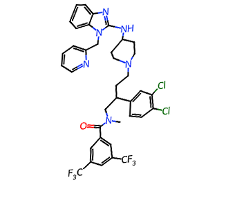 CN(CC(CCN1CCC(Nc2nc3ccccc3n2Cc2ccccn2)CC1)c1ccc(Cl)c(Cl)c1)C(=O)c1cc(C(F)(F)F)cc(C(F)(F)F)c1